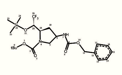 CC(C)(C)OC(=O)N1CC(NC(=O)OCc2ccccc2)C[C@@H]1[C@H](O[Si](C)(C)C)C(F)(F)F